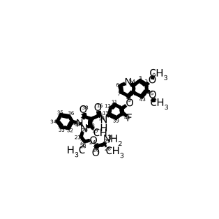 COc1cc2nccc(Oc3ccc(NC(=O)c4c(C)n(C[C@@H](C)OC(=O)[C@H](C)N)n(-c5ccccc5)c4=O)cc3F)c2cc1OC